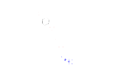 [N-]=[N+]=NCCOCCOCCOc1ccc(C=O)cc1